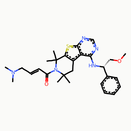 COC[C@@H](Nc1ncnc2sc3c(c12)CC(C)(C)N(C(=O)/C=C/CN(C)C)C3(C)C)c1ccccc1